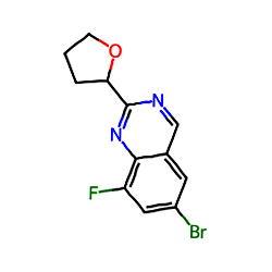 Fc1cc(Br)cc2cnc(C3CCCO3)nc12